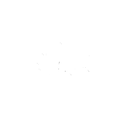 CC1(C)CC[C@]2(C(=O)OCc3ccccc3)CC[C@]3(C)C(=C(c4ccsc4CN4CCOCC4)CC4[C@@]5(C)Cc6c(n[nH]c6N)C(C)(C)C5CC[C@]43C)C2C1